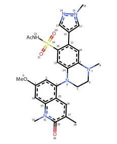 COc1cc(N2CCN(C)c3cc(-c4cnn(C)c4)c(S(=O)(=O)NC(C)=O)cc32)c2cc(C)c(=O)n(C)c2c1